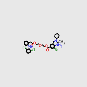 CCN(Cc1cc(C(=O)OCCOCCOC(=O)Cc2ccccc2Nc2c(Cl)cccc2Cl)cc(Br)c1N)C1CCCCC1